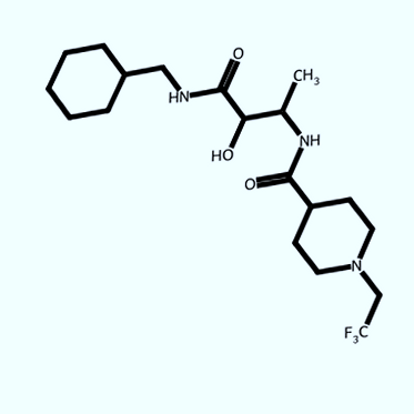 CC(NC(=O)C1CCN(CC(F)(F)F)CC1)C(O)C(=O)NCC1CCCCC1